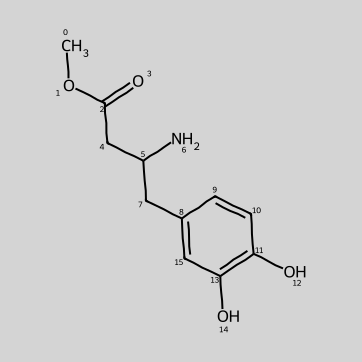 COC(=O)CC(N)Cc1ccc(O)c(O)c1